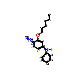 CCCCCCOC1=CC(Nc2ccccc2)=CCC1=[N+]=[N-]